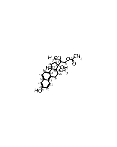 CC(=O)OCC(=O)[C@@]1(O)[C@@H](C)C[C@H]2c3ccc4cc(O)ccc4c3CC[C@@]21C